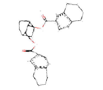 O=C(OC1C2CCC(CC2)C1OC(=O)c1ccc2c(c1)CCCC2)c1ccc2c(c1)CCCC2